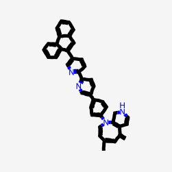 C=C1/C=C(C)\C=C/N(c2ccc(-c3ccc(-c4ccc(-c5cc6ccccc6c6ccccc56)cn4)nc3)cc2)C2=C1C=CNC2